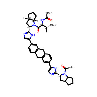 CCCC(=O)N1C2CCCC2C[C@H]1c1ncc(-c2ccc3c(c2)Cc2ccc(-c4cnc([C@@H]5C[C@@H]6CCC[C@@H]6N5C(=O)[C@@H](NC(=O)OC)[C@@H](C)OC)[nH]4)cc2C3)[nH]1